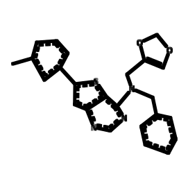 Cc1cccc(-c2cc3ncnc(N(CC4=COCO4)Cc4ccccc4)c3s2)c1